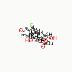 CCCCC(=O)O[C@]1(C(=O)CO)[C@@H](C)C[C@H]2[C@@H]3C[C@H](F)C4=CC(=O)C=C[C@]4(C)[C@H]3C(O)C[C@@]21C